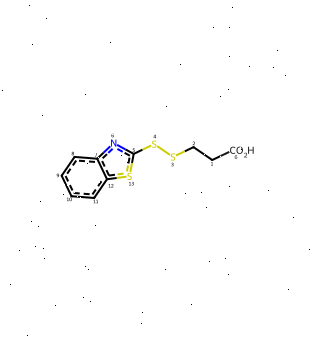 O=C(O)CCSSc1nc2ccccc2s1